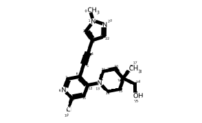 Cn1cc(C#Cc2cnc(Cl)cc2N2CCC(C)(CO)CC2)cn1